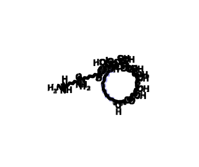 C[C@@H]1OC(=O)CC(O)CC(O)CCC(O)C(O)CC(O)CC2(O)C[C@H](O)C(C(=O)O)C(CC(O[C@@H]3O[C@H](C)C(O)[C@H](N4CCN(C(=O)CCCCCNC(=O)C(N)CCCCNC(=N)N)CC4)[C@@H]3O)/C=C/C=C/C=C/C=C/C=C/C=C/C=C/[C@H](C)C(O)[C@H]1C)O2